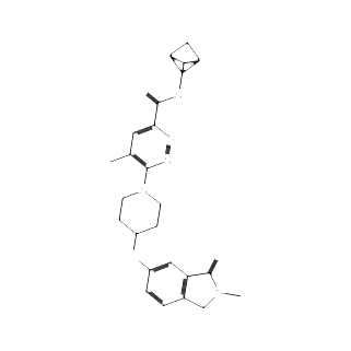 Cc1cc(C(=O)NC2C3CC2C3)nnc1N1CCC(Oc2ccc3c(c2)C(=O)N(C)C3)CC1